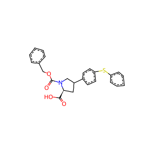 O=C(O)[C@@H]1CC(c2ccc(Sc3ccccc3)cc2)CN1C(=O)OCc1ccccc1